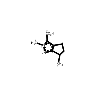 CC1CCc2c1nn(C)c2C(=O)O